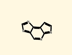 C1=Cc2c3c(cnc2=N1)=NC=N3